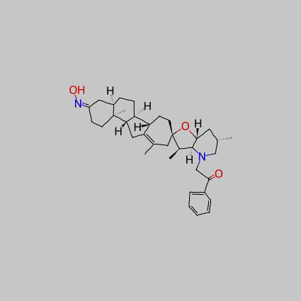 CC1=C2C[C@H]3[C@@H](CC[C@@H]4CC(=NO)CC[C@@]43C)[C@@H]2CC[C@@]2(C1)O[C@@H]1C[C@H](C)CN(CC(=O)c3ccccc3)[C@H]1[C@H]2C